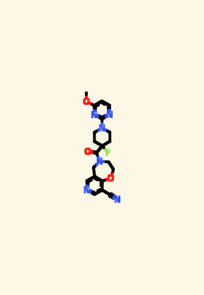 COc1ccnc(N2CCC(F)(C(=O)N3CCOc4c(C#N)cncc4C3)CC2)n1